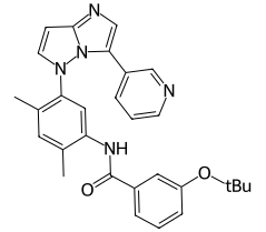 Cc1cc(C)c(-n2ccc3ncc(-c4cccnc4)n32)cc1NC(=O)c1cccc(OC(C)(C)C)c1